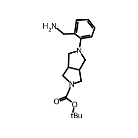 CC(C)(C)OC(=O)N1CC2CN(c3ccccc3CN)CC2C1